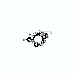 C[C@H]1CC(c2ccc(Br)cn2)Nc2cccc(n2)S(=O)(=O)NC(=O)c2ccc(C(C)(C)C)nc2N2C[C@@H]1CC2(C)C